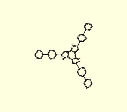 c1ccc(-c2ccc(-c3cc4c(s3)c3cc(-c5ccc(-c6ccccc6)cc5)sc3c3cc(-c5ccc(-c6ccccc6)cc5)sc43)cc2)cc1